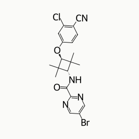 CC1(C)[C@H](NC(=O)c2ncc(Br)cn2)C(C)(C)[C@H]1Oc1ccc(C#N)c(Cl)c1